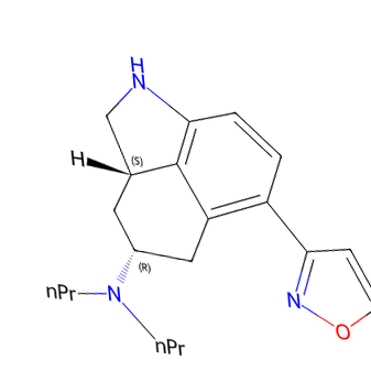 CCCN(CCC)[C@H]1Cc2c(-c3ccon3)ccc3c2[C@@H](CN3)C1